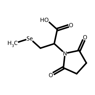 C[Se]CC(C(=O)O)N1C(=O)CCC1=O